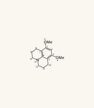 COc1cc(OC)c2c3c1CCCN3CCC2